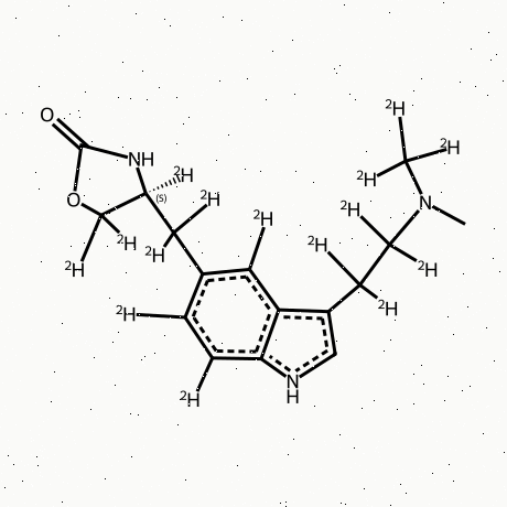 [2H]c1c(C([2H])([2H])[C@]2([2H])NC(=O)OC2([2H])[2H])c([2H])c2c(C([2H])([2H])C([2H])([2H])N(C)C([2H])([2H])[2H])c[nH]c2c1[2H]